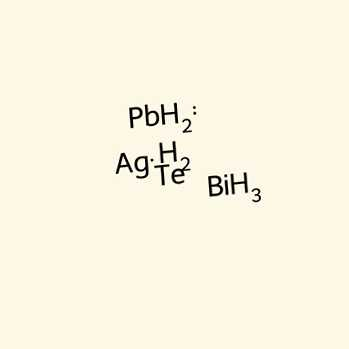 [Ag].[BiH3].[PbH2].[TeH2]